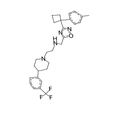 Cc1ccc(C2(c3noc(CNCCN4CCC(c5cccc(C(F)(F)F)c5)CC4)n3)CCC2)cc1